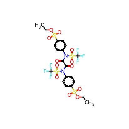 CCOS(=O)(=O)c1ccc(N(C(=O)C(=O)N(c2ccc(S(=O)(=O)OCC)cc2)S(=O)(=O)C(F)(F)F)S(=O)(=O)C(F)(F)F)cc1